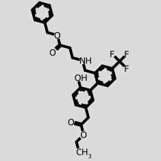 CCOC(=O)Cc1ccc(O)c(-c2ccc(C(F)(F)F)cc2CNCCC(=O)OCc2ccccc2)c1